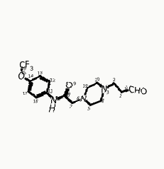 O=CCCN1CCN(CC(=O)Nc2ccc(OC(F)(F)F)cc2)CC1